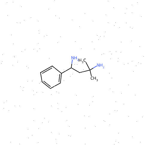 CC(C)(N)CC(N)c1cc[c]cc1